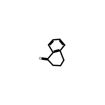 O=C1CCCc2[c]cccc21